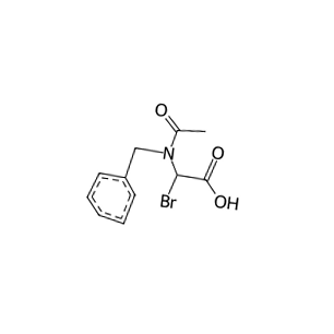 CC(=O)N(Cc1ccccc1)C(Br)C(=O)O